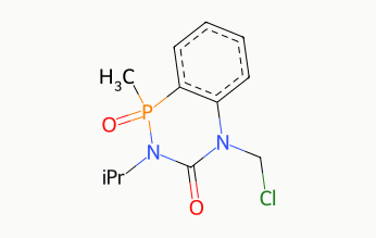 CC(C)N1C(=O)N(CCl)c2ccccc2P1(C)=O